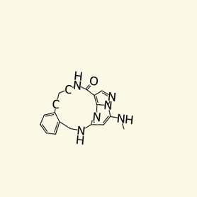 CNc1cc2nc3c(cnn13)C(=O)NCCCc1ccccc1CN2